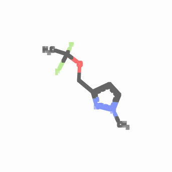 Cn1ccc(COC(C)(F)F)n1